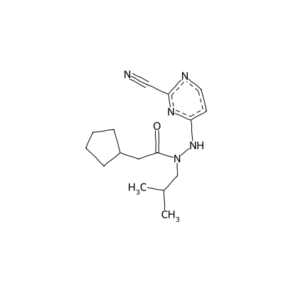 CC(C)CN(Nc1ccnc(C#N)n1)C(=O)CC1CCCC1